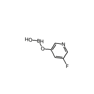 OBOc1cncc(F)c1